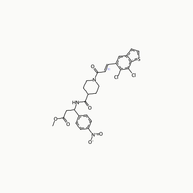 COC(=O)CC(NC(=O)C1CCN(C(=O)/C=C/c2cc3ccsc3c(Cl)c2Cl)CC1)c1ccc([N+](=O)[O-])cc1